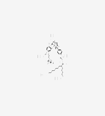 CCCCCCCCC(CCCCCC)C(=O)OCC(=O)Nc1ccc(-c2nc3n(n2)N=C(C)/C3=N/c2ccc(N(CC)CCNS(C)(=O)=O)cc2C)cc1